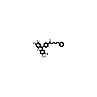 O=C(CCCCc1ccccc1)c1ccc(-c2c3cc(Cl)c(=O)cc-3oc3cc(O)c(Cl)cc23)cc1